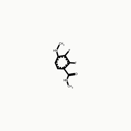 CNC(=O)c1ccc(NC)c(F)c1F